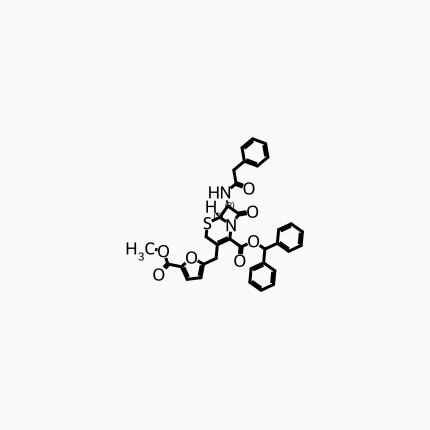 COC(=O)c1ccc(CC2=C(C(=O)OC(c3ccccc3)c3ccccc3)N3C(=O)[C@@H](NC(=O)Cc4ccccc4)[C@@H]3SC2)o1